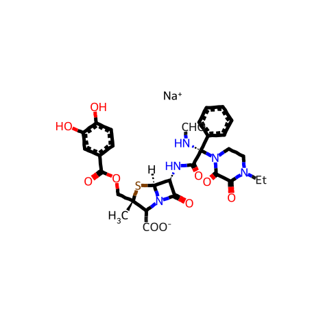 CCN1CCN([C@@](NC=O)(C(=O)N[C@@H]2C(=O)N3C(C(=O)[O-])[C@](C)(COC(=O)c4ccc(O)c(O)c4)S[C@@H]23)c2ccccc2)C(=O)C1=O.[Na+]